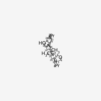 CC(C)CN1CCOCC2CN(C(C)(C)C3CC(CO)N(C4CCN(C(C)C)CC4)C3)CCC21